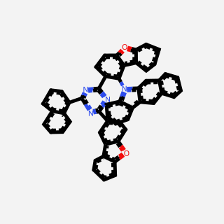 c1ccc2cc3c(cc2c1)c1ccccc1n3-c1c(-c2nc(-c3ccc4oc5ccccc5c4c3)nc(-c3cccc4ccccc34)n2)ccc2oc3ccccc3c12